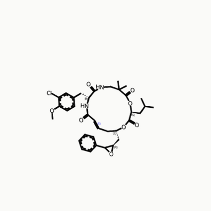 COc1ccc(C[C@H]2NC(=O)/C=C/C[C@@H](C[C@H]3OC3c3ccccc3)OC(=O)[C@H](CC(C)C)OC(=O)C(C)(C)CNC2=O)cc1Cl